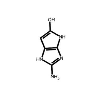 Nc1nc2[nH]c(O)cc2[nH]1